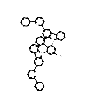 N#Cc1cc(-n2c3ccccc3c3cc(-c4cccc(-c5ccccc5)n4)ccc32)c(-c2c(F)cccc2F)c(-n2c3ccccc3c3cc(-c4cccc(-c5ccccc5)n4)ccc32)c1